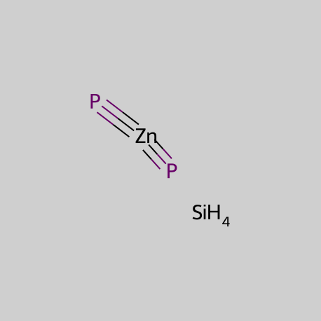 [P]#[Zn]#[P].[SiH4]